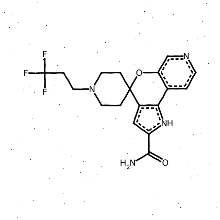 NC(=O)c1cc2c([nH]1)-c1ccncc1OC21CCN(CCC(F)(F)F)CC1